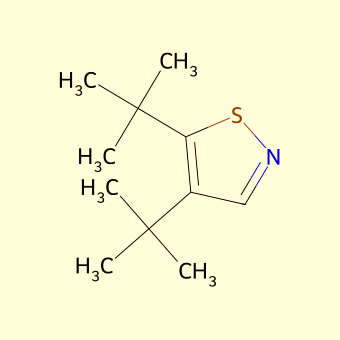 CC(C)(C)c1cnsc1C(C)(C)C